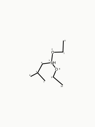 CCO[SiH](CC(C)C)OCC